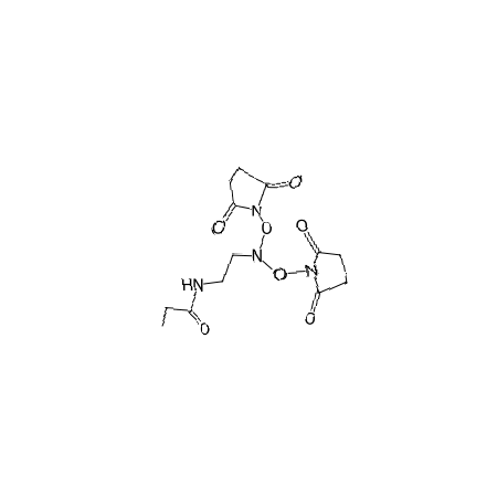 CCC(=O)NCCN(ON1C(=O)CCC1=O)ON1C(=O)CCC1=O